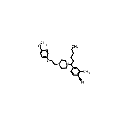 CCCCCC(c1ccc(C#N)c(C)c1)N1CCN(CCOc2ccc(OC)cc2)CC1